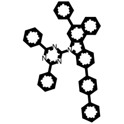 c1ccc(-c2ccc(-c3ccc4c5c6ccccc6c(-c6ccccc6)cc5n(-c5nc(-c6ccccc6)nc(-c6ccccc6)n5)c4c3)cc2)cc1